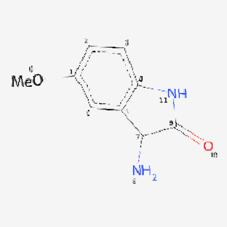 COc1ccc2c(c1)C(N)C(=O)N2